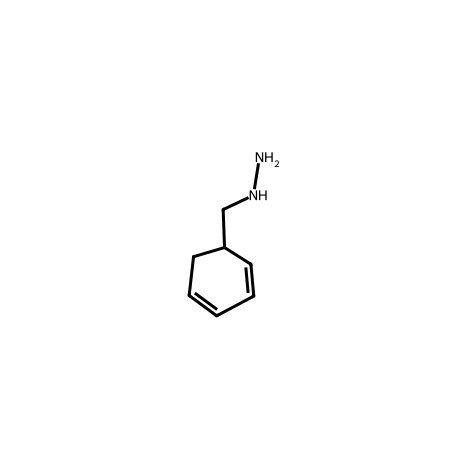 NNCC1C=CC=CC1